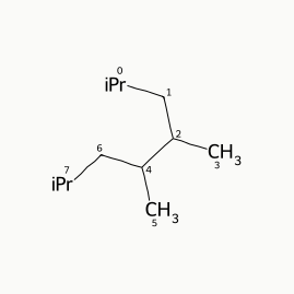 [CH2]C(C)CC(C)C(C)CC(C)C